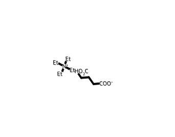 CC[N+](CC)(CC)CC.O=C([O-])CCCC(=O)O